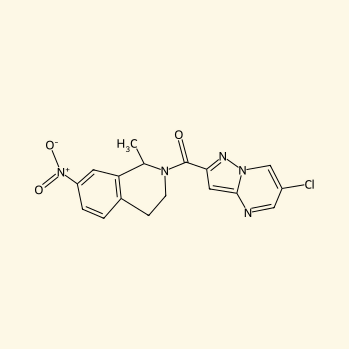 CC1c2cc([N+](=O)[O-])ccc2CCN1C(=O)c1cc2ncc(Cl)cn2n1